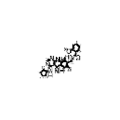 COc1ccccc1C(=O)NCc1ccc(C(=N)c2c(N)ncnc2NC2CCCC2)cc1C